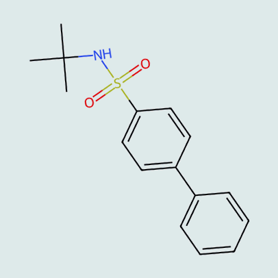 CC(C)(C)NS(=O)(=O)c1ccc(-c2ccccc2)cc1